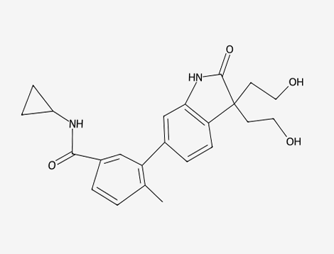 Cc1ccc(C(=O)NC2CC2)cc1-c1ccc2c(c1)NC(=O)C2(CCO)CCO